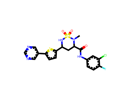 CN1C(C(=O)Nc2ccc(F)c(Cl)c2)CC(c2ccc(-c3cncnc3)s2)NS1(=O)=O